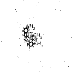 Cc1ccnc(N2CCN(Cc3ccc(N)cc3)CC2)c1C(=O)OC(C)C